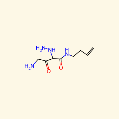 C=CCCNC(=O)C(NN)C(=O)CN